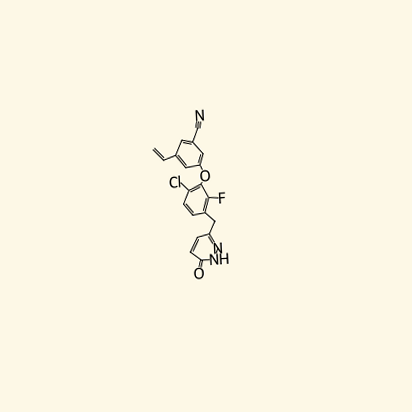 C=Cc1cc(C#N)cc(Oc2c(Cl)ccc(Cc3ccc(=O)[nH]n3)c2F)c1